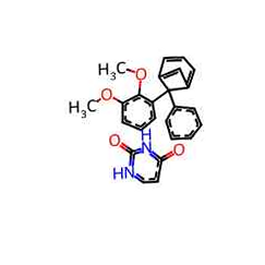 COc1cccc(C2(c3ccccc3)C3=CC=CC2=C3)c1OC.O=c1cc[nH]c(=O)[nH]1